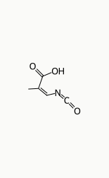 CC(=CN=C=O)C(=O)O